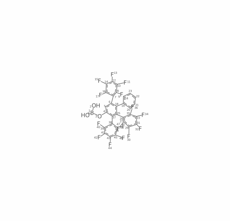 OB(O)Oc1cc(-c2c(F)c(F)c(F)c(F)c2F)c(-c2ccccc2)c(-c2c(F)c(F)c(F)c(F)c2F)c1-c1c(F)c(F)c(F)c(F)c1F